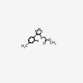 COC(=O)CSc1snnc1-c1ccc(C)cc1I